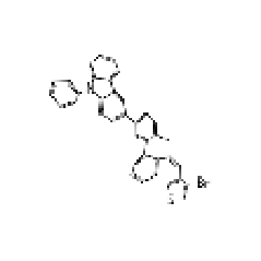 Brc1cscc1/C=C1/Cc2ccc(-c3ccc4c(c3)c3ccccc3n4-c3ccccc3)cc2-c2ccccc21